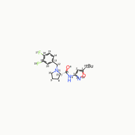 CC(C)(C)c1cc(NC(=O)[C@@H]2CCCN2Cc2ccc(F)c(F)c2)no1